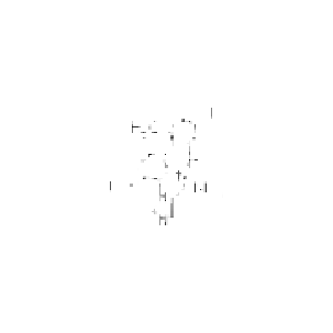 Cc1cc(Cl)cc(Cl)c1-c1ccc(N)c2c1nc(N)c1cncn12